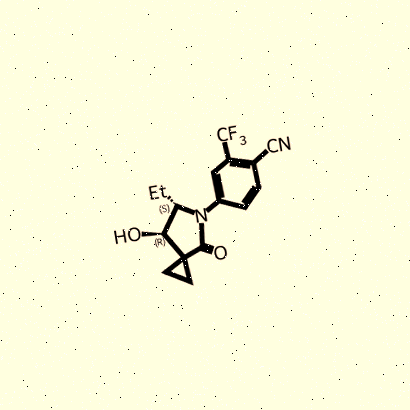 CC[C@H]1[C@H](O)C2(CC2)C(=O)N1c1ccc(C#N)c(C(F)(F)F)c1